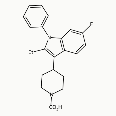 CCc1c(C2CCN(C(=O)O)CC2)c2ccc(F)cc2n1-c1ccccc1